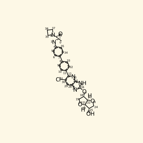 CS(=O)(=Nc1ccc(-c2ccc(-c3nc4[nH]c(O[C@@H]5CO[C@H]6[C@@H]5OC[C@H]6O)nc4cc3Cl)cc2)cc1)N1CCC1